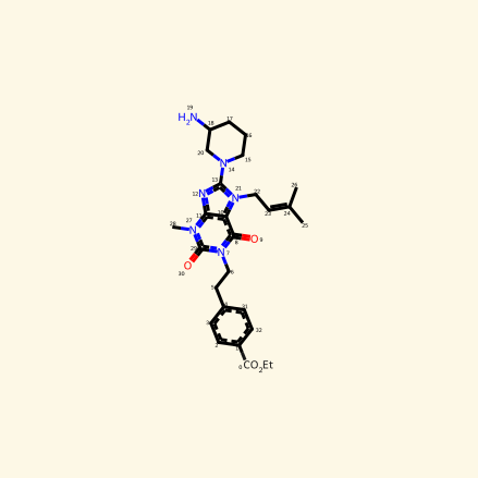 CCOC(=O)c1ccc(CCn2c(=O)c3c(nc(N4CCCC(N)C4)n3CC=C(C)C)n(C)c2=O)cc1